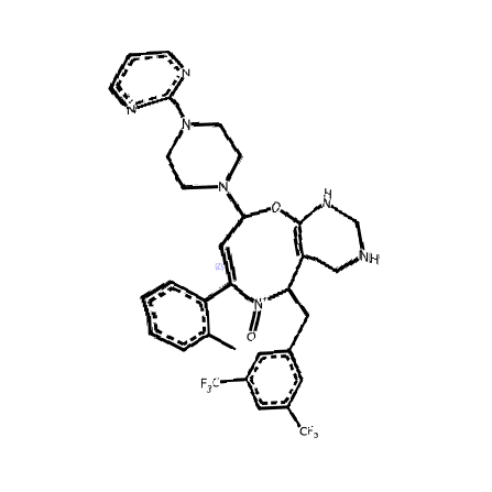 Cc1ccccc1/C1=C/C(N2CCN(c3ncccn3)CC2)OC2=C(CNCN2)C(Cc2cc(C(F)(F)F)cc(C(F)(F)F)c2)[N+]1=O